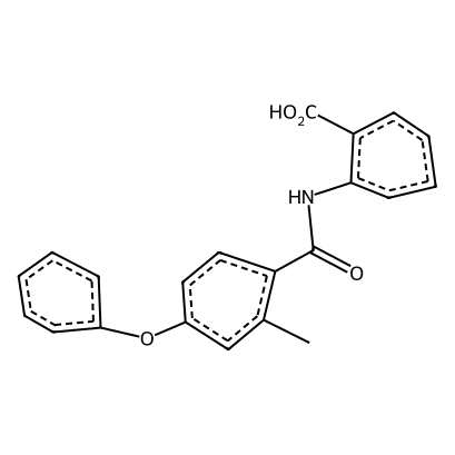 Cc1cc(Oc2ccccc2)ccc1C(=O)Nc1ccccc1C(=O)O